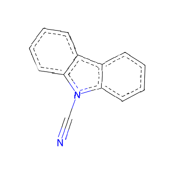 N#Cn1c2ccccc2c2ccccc21